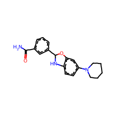 NC(=O)c1cccc(C2Nc3ccc(N4CCCCC4)cc3O2)c1